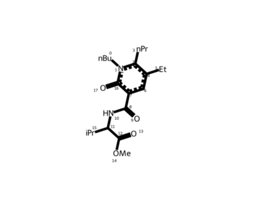 CCCCn1c(CCC)c(CC)cc(C(=O)NC(C(=O)OC)C(C)C)c1=O